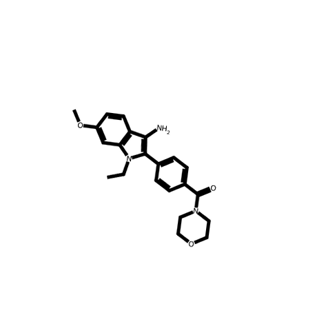 CCn1c(-c2ccc(C(=O)N3CCOCC3)cc2)c(N)c2ccc(OC)cc21